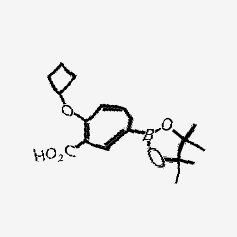 CC1(C)OB(c2ccc(OC3CCC3)c(C(=O)O)c2)OC1(C)C